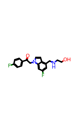 O=C(Cn1ccc2c(CNCCO)cc(F)cc21)c1ccc(F)cc1